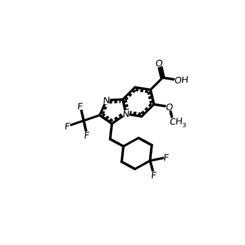 COc1cn2c(CC3CCC(F)(F)CC3)c(C(F)(F)F)nc2cc1C(=O)O